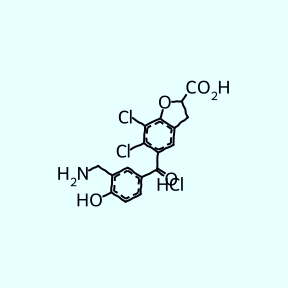 Cl.NCc1cc(C(=O)c2cc3c(c(Cl)c2Cl)OC(C(=O)O)C3)ccc1O